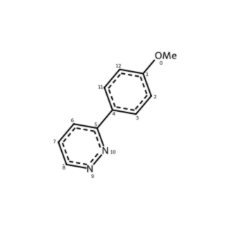 COc1ccc(-c2cc[c]nn2)cc1